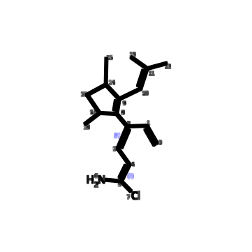 C=C/C(=C\C=C(/N)Cl)C1=C(C=C(C)C)C(C)CC1C